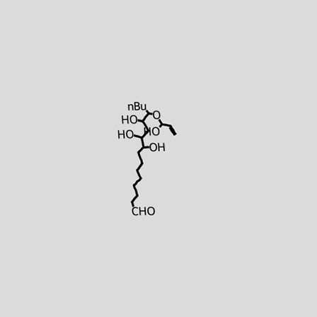 C=CC(O)OC(CCCC)C(O)CC(O)C(O)CCCCCCCC=O